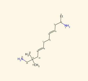 CCC(N)CC=CCCC=CCC(C)(C)CN